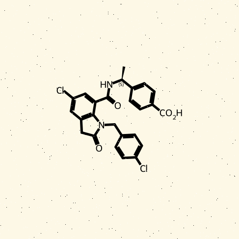 C[C@H](NC(=O)c1cc(Cl)cc2c1N(Cc1ccc(Cl)cc1)C(=O)C2)c1ccc(C(=O)O)cc1